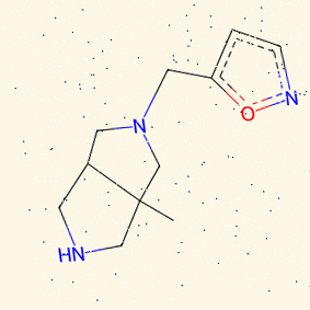 CC12CNCC1CN(Cc1ccno1)C2